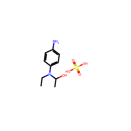 CCN(c1ccc(N)cc1)C(C)O.O=S(=O)(O)O